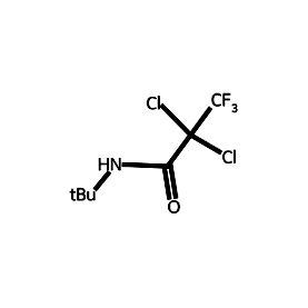 CC(C)(C)NC(=O)C(Cl)(Cl)C(F)(F)F